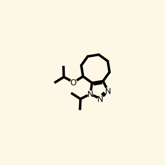 CC(C)OC1CCCCCc2nnn(C(C)C)c21